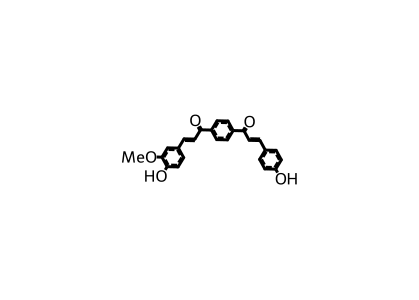 COc1cc(C=CC(=O)c2ccc(C(=O)C=Cc3ccc(O)cc3)cc2)ccc1O